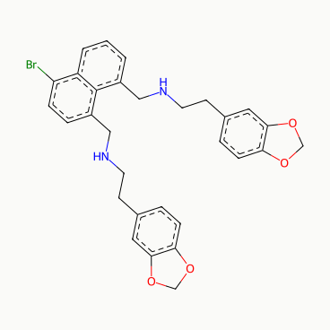 Brc1ccc(CNCCc2ccc3c(c2)OCO3)c2c(CNCCc3ccc4c(c3)OCO4)cccc12